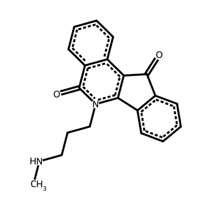 CNCCCn1c2c(c3ccccc3c1=O)C(=O)c1ccccc1-2